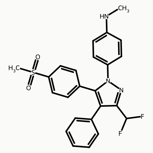 CNc1ccc(-n2nc(C(F)F)c(-c3ccccc3)c2-c2ccc(S(C)(=O)=O)cc2)cc1